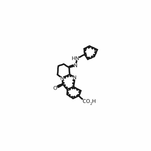 O=C(O)c1ccc2c(=O)n3c(nc2c1)C(=NNc1ccccc1)CCC3